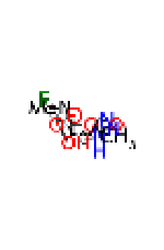 CNC(=O)c1c(-c2ccc(F)cc2)oc2cc(O)c(-c3cccc(C(=O)NC(C)(C)c4ncon4)c3)cc12